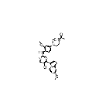 COc1ccn2c(-c3nc(Nc4ccc(N5CCN(C(C)=O)CC5)cc4OC)ncc3Cl)cnc2c1